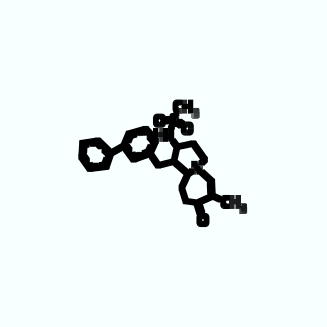 CC1=CN2CCC(NS(C)(=O)=O)C(Cc3cccc(-c4ccccc4)c3)C2CCC1=O